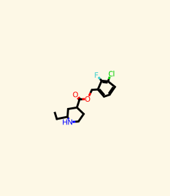 CCC1CC(C(=O)OCc2cccc(Cl)c2F)CCN1